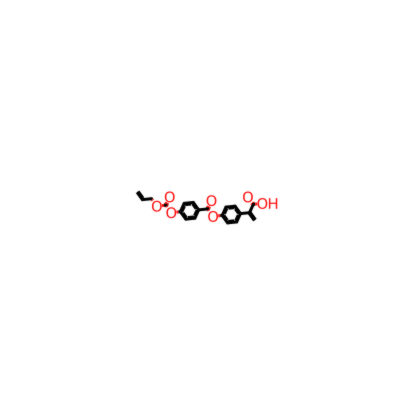 C=CCOC(=O)Oc1ccc(C(=O)Oc2ccc(C(=C)C(=O)O)cc2)cc1